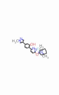 Cn1cc(-c2ccc(-c3ccc(O[C@@H]4C[C@@]5(C)CCC[C@](C)(N5)[C@@H]4F)nn3)c(O)c2)cn1